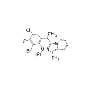 Cc1nc(C(C)c2cc(Cl)c(F)c(Br)c2OC(C)C)n2ccccc12